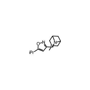 CC(C)c1cc(CN2C3CC2CN(C)C3)no1